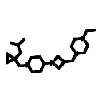 CCN1CCN(CC2CN(C3CCN(CC4(CC(C)C)CC4)CC3)C2)CC1